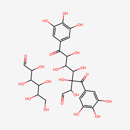 O=CC(O)C(O)(C(=O)c1cc(O)c(O)c(O)c1)C(O)C(O)C(O)C(=O)c1cc(O)c(O)c(O)c1.O=CC(O)C(O)C(O)C(O)CO